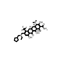 CCN(Cc1cc(O)c2c(c1C(F)(F)F)C[C@H]1C[C@H]3[C@H](N(C)C)C(O)=C(C(N)=O)C(=O)[C@@]3(O)C(O)=C1C2=O)CC1CCCC1